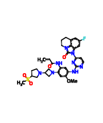 C=CC(=O)Nc1cc(Nc2nccc(-n3c(=O)n4c5c(cc(F)cc53)CCC4)n2)c(OC)cc1N1CC(N2CCC(S(C)(=O)=O)C2)C1